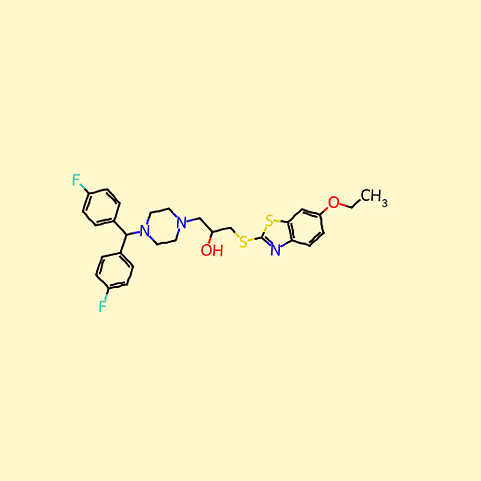 CCOc1ccc2nc(SCC(O)CN3CCN(C(c4ccc(F)cc4)c4ccc(F)cc4)CC3)sc2c1